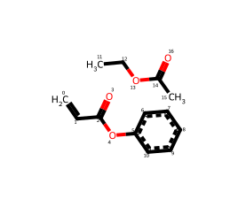 C=CC(=O)Oc1ccccc1.CCOC(C)=O